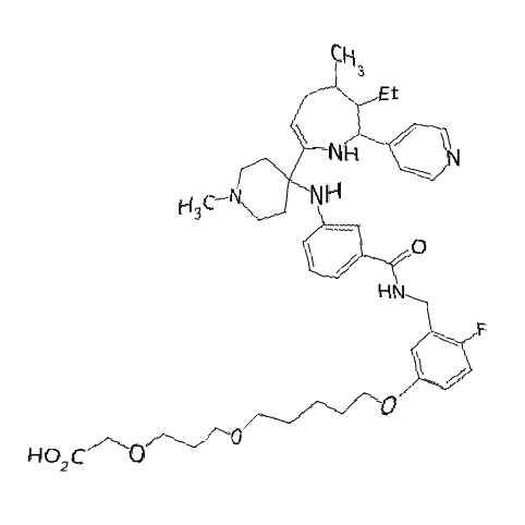 CCC1C(C)CC=C(C2(Nc3cccc(C(=O)NCc4cc(OCCCCCOCCCOCC(=O)O)ccc4F)c3)CCN(C)CC2)NC1c1ccncc1